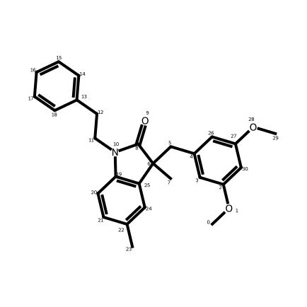 COc1cc(CC2(C)C(=O)N(CCc3ccccc3)c3ccc(C)cc32)cc(OC)c1